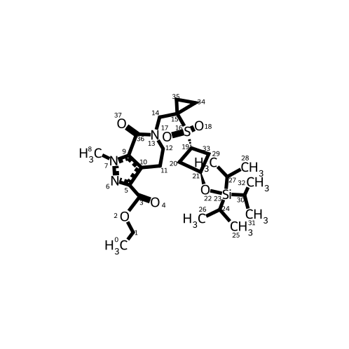 CCOC(=O)c1nn(C)c2c1CCN(CC1(S(=O)(=O)[C@H]3C[C@H](O[Si](C(C)C)(C(C)C)C(C)C)C3)CC1)C2=O